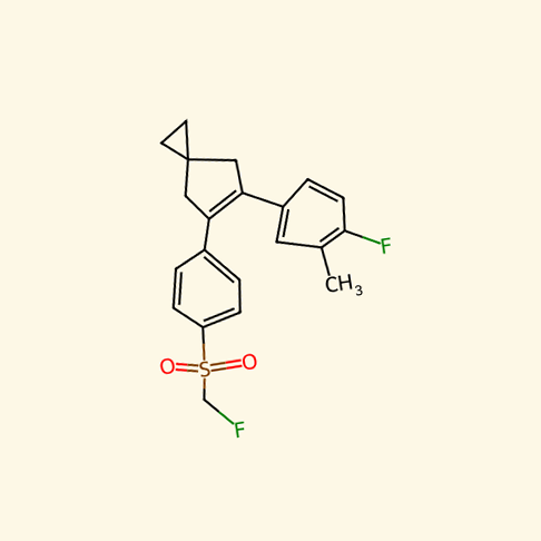 Cc1cc(C2=C(c3ccc(S(=O)(=O)CF)cc3)CC3(CC3)C2)ccc1F